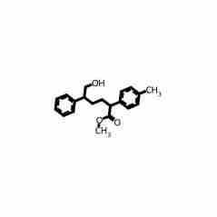 COC(=O)C(CCC(CO)c1ccccc1)c1ccc(C)cc1